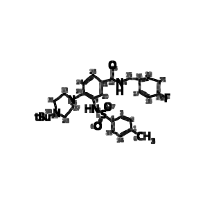 Cc1ccc(S(=O)(=O)Nc2cc(C(=O)NCc3ccc(F)cc3)ccc2N2CCN(C(C)(C)C)CC2)cc1